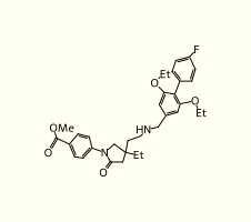 CCOc1cc(CNCCC2(CC)CC(=O)N(c3ccc(C(=O)OC)cc3)C2)cc(OCC)c1-c1ccc(F)cc1